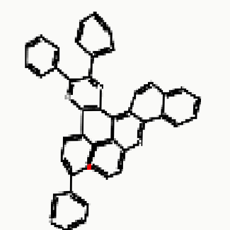 c1ccc(-c2nc(-c3ccc(-c4cccnc4)cc3)c(-c3c4ccccc4nc4c3ccc3ccccc34)nc2-c2ccccc2)cc1